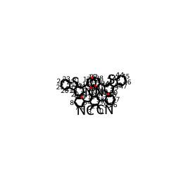 N#Cc1c(C#N)c(-c2ccccc2)c(-n2c3ccccc3c3c4sc5ccccc5c4ccc32)c(-n2c3ccccc3c3c4sc5ccccc5c4ccc32)c1-c1ccccc1